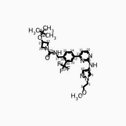 COCCn1cc(Nc2nccc(-c3ccc(CNC(=O)N4CC(OC(C)(C)C)C4)c(C(F)(F)F)c3)n2)cn1